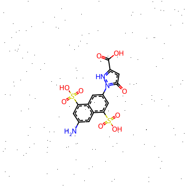 Nc1cc(S(=O)(=O)O)c2cc(-n3[nH]c(C(=O)O)cc3=O)cc(S(=O)(=O)O)c2c1